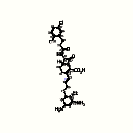 CC[n+]1c(N)cc(N)nc1SC/C=C/C1=C(C(=O)O)N2C(=O)[C@@H](NC(=O)CSc3cc(Cl)ccc3Cl)[C@H]2SC1